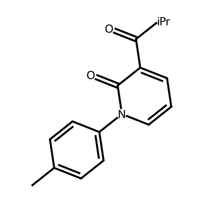 Cc1ccc(-n2cccc(C(=O)C(C)C)c2=O)cc1